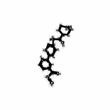 O=NC(=O)c1ccnc(-c2ccc(NC(=O)C3CCNCC3)cn2)c1